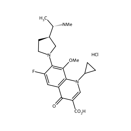 CN[C@@H](C)[C@@H]1CCN(c2c(F)cc3c(=O)c(C(=O)O)cn(C4CC4)c3c2OC)C1.Cl